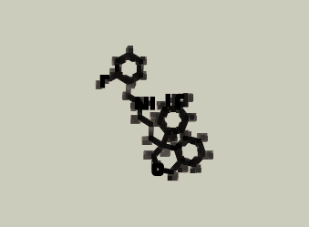 Cl.Fc1ccccc1CNCCCC1(c2ccccc2)COCc2ccccc21